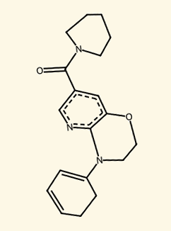 O=C(c1cnc2c(c1)OCCN2C1=CC=CCC1)N1CCCCC1